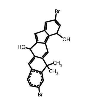 CC1(C)C2=CC3=C4C(=CC(Br)=CC4O)C=C3C(O)C2=Cc2ccc(Br)cc21